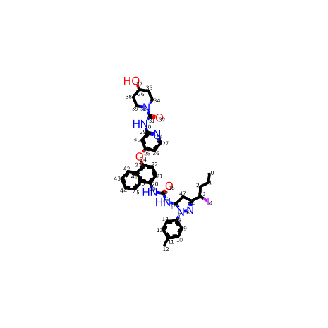 CCCC(I)C1=NN(c2ccc(C)cc2)C(NC(=O)Nc2ccc(Oc3ccnc(NC(=O)N4CCC(O)CC4)c3)c3ccccc23)C1